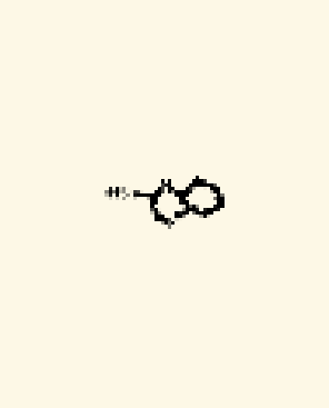 [SnH][c]1cnc2ccccc2n1